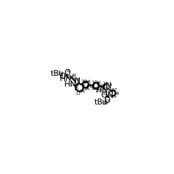 C[C@H](NC(=O)OC(C)(C)C)c1nc2c([nH]1)CCCc1cc(-c3ccc(-c4cnc([C@@H]5CCCN5C(=O)OC(C)(C)C)[nH]4)cc3)ccc1-2